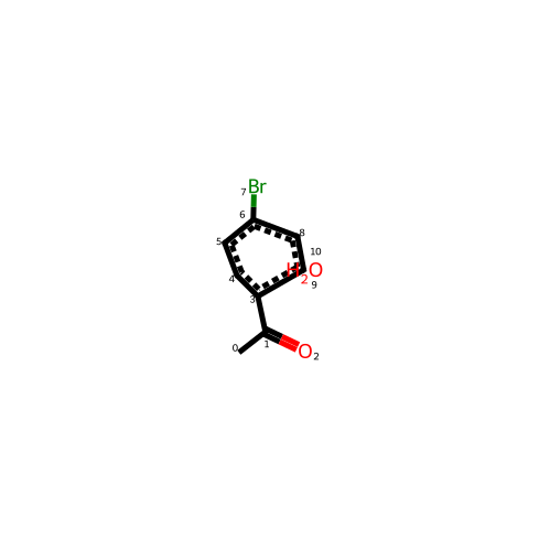 CC(=O)c1ccc(Br)cc1.O